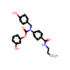 O=C(O)CCNC(=O)c1ccc(N(Cc2ccc(O)cc2)C(=O)Oc2cccc(O)c2)cc1